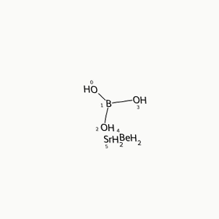 OB(O)O.[BeH2].[SrH2]